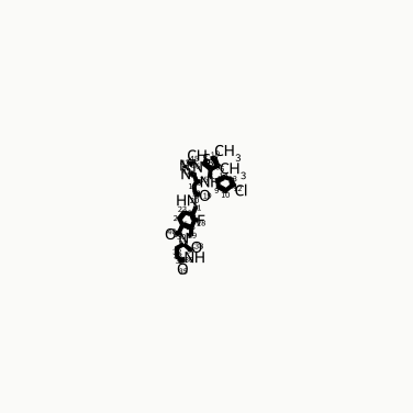 Cc1sc2c(c1C)[C@H](c1ccc(Cl)cc1)NC(CC(=O)NCc1ccc3c(c1F)CN(C1CCC(=O)NC1=O)C3=O)c1nnc(C)n1-2